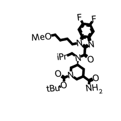 COCCCCn1c(C(=O)N(CC(C)C)[C@H]2CC(C(N)=O)CN(C(=O)OC(C)(C)C)C2)nc2cc(F)c(F)cc21